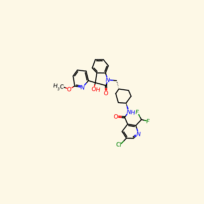 COc1cccc(C2(O)C(=O)N(C[C@H]3CC[C@H](NC(=O)c4cc(Cl)cnc4C(F)F)CC3)c3ccccc32)n1